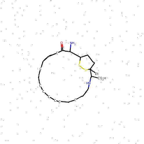 CCC12CCC(SS1)C(N)C(=O)CCCCCCCCCCCCCCNC2C(=O)O